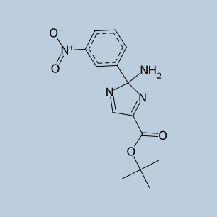 CC(C)(C)OC(=O)C1=NC(N)(c2cccc([N+](=O)[O-])c2)N=C1